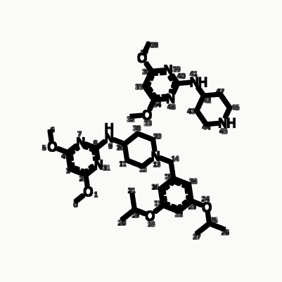 COc1cc(OC)nc(NC2CCN(Cc3cc(OC(C)C)cc(OC(C)C)c3)CC2)n1.COc1cc(OC)nc(NC2CCNCC2)n1